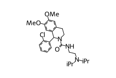 COc1cc2c(cc1OC)C(c1ccccc1Cl)N(C(=O)NCCN(C(C)C)C(C)C)CC2